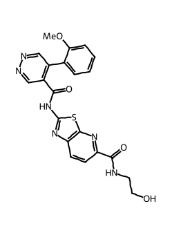 COc1ccccc1-c1cnncc1C(=O)Nc1nc2ccc(C(=O)NCCO)nc2s1